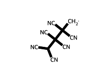 [CH2]C(C#N)(C#N)C(C#N)(C#N)[C](C#N)C#N